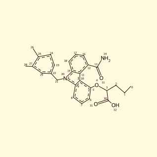 CCCC(Oc1cccc2c1c1c(C(N)=O)cccc1n2Cc1ccc(C)c(C)c1)C(=O)O